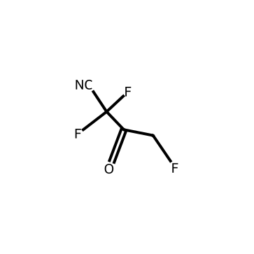 N#CC(F)(F)C(=O)CF